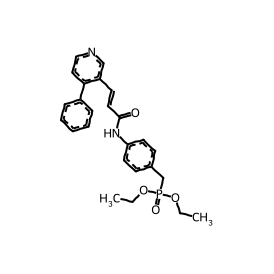 CCOP(=O)(Cc1ccc(NC(=O)/C=C/c2cnccc2-c2ccccc2)cc1)OCC